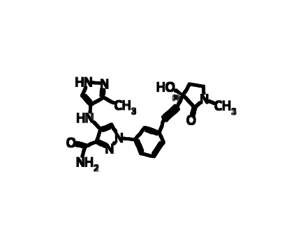 Cc1n[nH]cc1Nc1cn(-c2cccc(C#C[C@]3(O)CCN(C)C3=O)c2)nc1C(N)=O